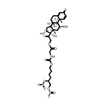 C[C@]12C=CC(=O)C=C1CC[C@H]1[C@@H]3C[C@@H](O)[C@](O)(C(=O)COC(=O)CNC(=O)OCCCCC(CO[N+](=O)[O-])O[N+](=O)[O-])[C@@]3(C)C[C@H](O)[C@@]12F